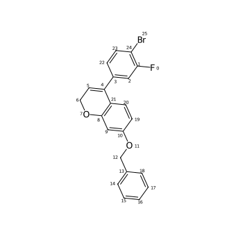 Fc1cc(C2=CCOc3cc(OCc4ccccc4)ccc32)ccc1Br